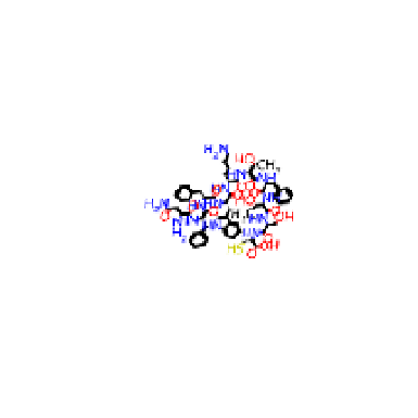 C[C@@H](O)[C@H](NC(=O)[C@H](Cc1ccccc1)NC(=O)[C@@H](NC(=O)[C@H](CCCCN)NC(=O)[C@H](Cc1c[nH]c2ccccc12)NC(=O)[C@H](Cc1ccccc1)NC(=O)[C@H](Cc1ccccc1)NC(=O)[C@@H](N)CC(N)=O)[C@@H](C)O)C(=O)N[C@@H](CO)C(=O)N[C@@H](CS)C(=O)O